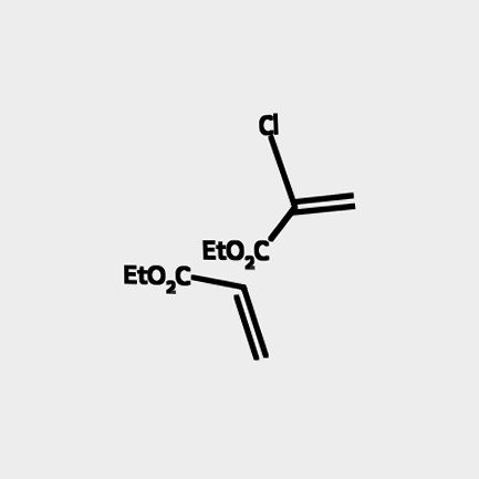 C=C(Cl)C(=O)OCC.C=CC(=O)OCC